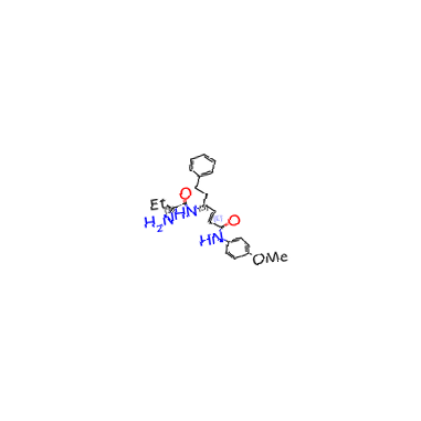 CC[C@H](N)C(=O)N[C@H](/C=C/C(=O)Nc1ccc(OC)cc1)CCc1ccccc1